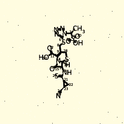 CC(n1nnnc1SCC1=C(C(=O)O)N2C(=O)C(NC(=S)[C@H]3C[C@H]3C#N)[C@@H]2SC1)S(=O)(=O)O